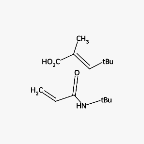 C=CC(=O)NC(C)(C)C.CC(=CC(C)(C)C)C(=O)O